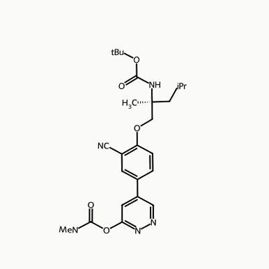 CNC(=O)Oc1cc(-c2ccc(OC[C@](C)(CC(C)C)NC(=O)OC(C)(C)C)c(C#N)c2)cnn1